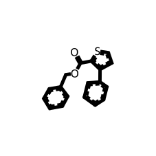 O=C(OCc1ccccc1)c1sccc1-c1ccccc1